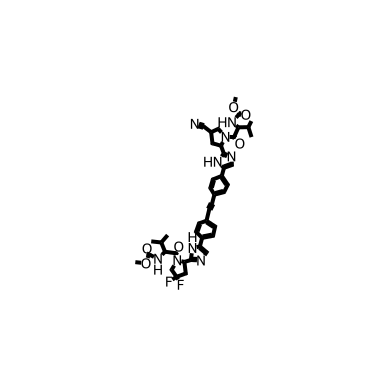 COC(=O)NC(C(=O)N1CC(C#N)CC1c1ncc(-c2ccc(C#Cc3ccc(-c4cnc(C5CC(F)(F)CN5C(=O)C(NC(=O)OC)C(C)C)[nH]4)cc3)cc2)[nH]1)C(C)C